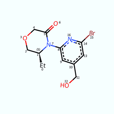 CC[C@H]1COCC(=O)N1c1cc(CO)cc(Br)n1